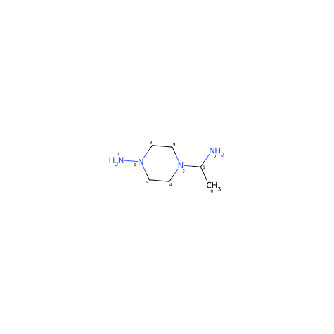 CC(N)N1CCN(N)CC1